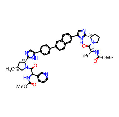 COC(=O)NC(C(=O)N1C[C@H](C)C[C@H]1c1ncc(-c2ccc(-c3ccc4cc(-c5cnc([C@@H]6CCCN6C(=O)[C@@H](NC(=O)OC)C(C)C)[nH]5)ccc4c3)cc2)[nH]1)c1cccnc1